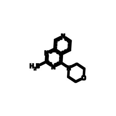 Bc1nc(N2CCOCC2)c2ccncc2n1